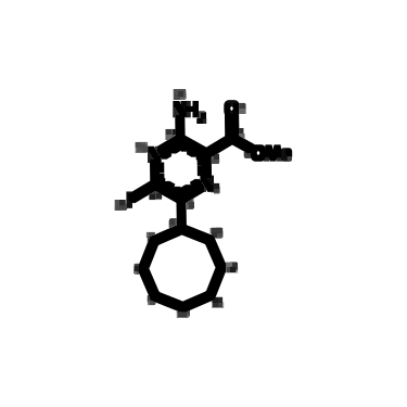 COC(=O)c1nc(C2CCCCCCC2)c(I)nc1N